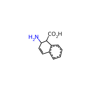 NC1C=Cc2ccccc2C1C(=O)O